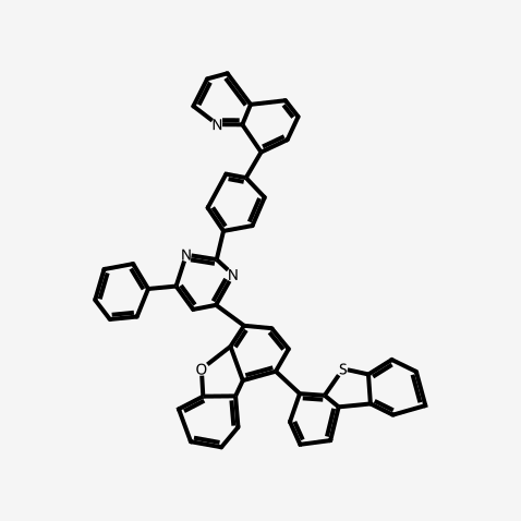 c1ccc(-c2cc(-c3ccc(-c4cccc5c4sc4ccccc45)c4c3oc3ccccc34)nc(-c3ccc(-c4cccc5cccnc45)cc3)n2)cc1